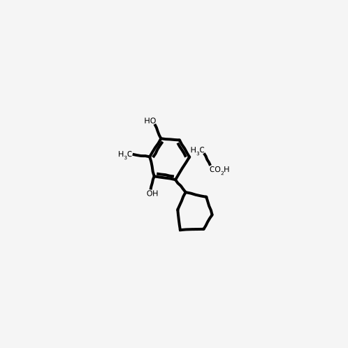 CC(=O)O.Cc1c(O)ccc(C2CCCCC2)c1O